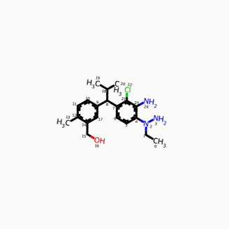 CCN(N)c1ccc(C(c2ccc(C)c(CO)c2)C(C)C)c(Cl)c1N